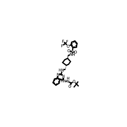 CC(C)(C)OC(=O)NNc1nc(NC[C@H]2CC[C@H](CNS(=O)(=O)c3ccccc3OC(F)(F)F)CC2)nc2ccccc12